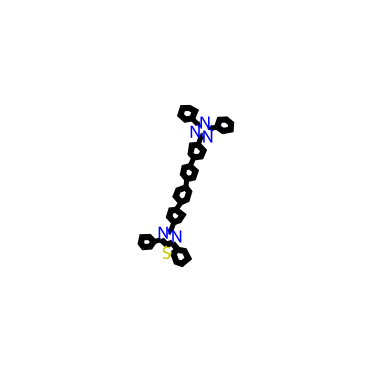 c1ccc(-c2nc(-c3ccccc3)nc(-c3ccc(-c4ccc(-c5ccc(-c6ccc(-c7nc(-c8ccccc8)c8sc9ccccc9c8n7)cc6)cc5)cc4)cc3)n2)cc1